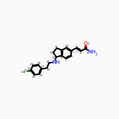 NC(=O)/C=C/c1ccc2c(c1)CCC2NCCc1ccc(F)cc1